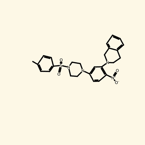 Cc1ccc(S(=O)(=O)N2CCN(c3ccc([N+](=O)[O-])c(N4CCc5ccccc5C4)c3)CC2)cc1